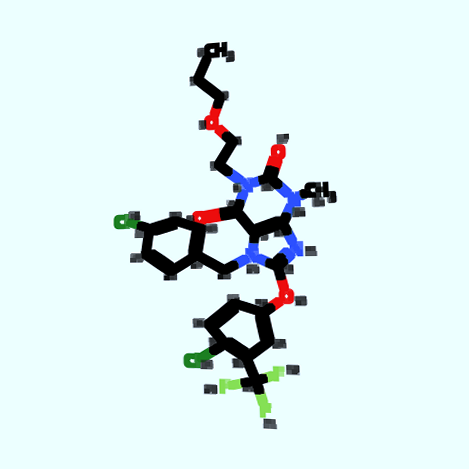 CCCOCCn1c(=O)c2c(nc(Oc3ccc(Cl)c(C(F)(F)F)c3)n2Cc2ccc(Cl)cc2)n(C)c1=O